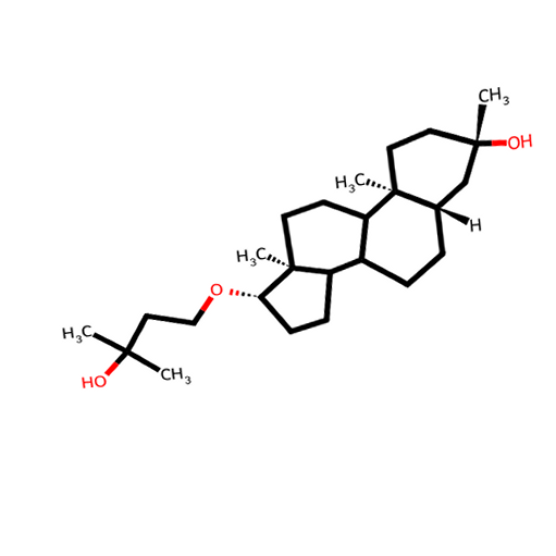 CC(C)(O)CCO[C@H]1CCC2C3CC[C@H]4C[C@@](C)(O)CC[C@]4(C)C3CC[C@@]21C